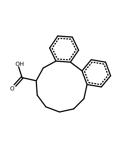 O=C(O)C1CCCCCc2ccccc2-c2ccccc2C1